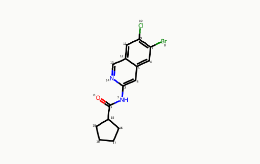 O=C(Nc1cc2cc(Br)c(Cl)cc2cn1)C1CCCC1